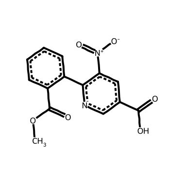 COC(=O)c1ccccc1-c1ncc(C(=O)O)cc1[N+](=O)[O-]